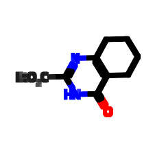 CCOC(=O)c1nc2c(c(=O)[nH]1)CCCC2